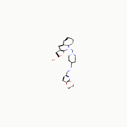 COc1cc2c(o1)N(CN1CCC(NCc3ccc4c(n3)OCCO4)CC1)C1CCC=CC1=C2